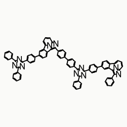 c1ccc(-c2nc(-c3ccccc3)nc(-c3ccc(-c4ccc5c(c4)c4cccc6nc(-c7ccc(-c8ccc(-c9nc(-c%10ccccc%10)nc(-c%10ccc(-c%11ccc%12c(c%11)c%11c(-c%13ccccc%13)nc%13cccc%12n%13%11)cc%10)n9)cc8)cc7)c5n64)cc3)n2)cc1